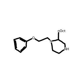 CCCCCCCCC1CNCCN1CCOc1ccccc1